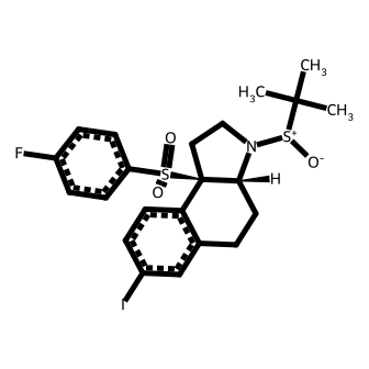 CC(C)(C)[S+]([O-])N1CC[C@@]2(S(=O)(=O)c3ccc(F)cc3)c3ccc(I)cc3CC[C@@H]12